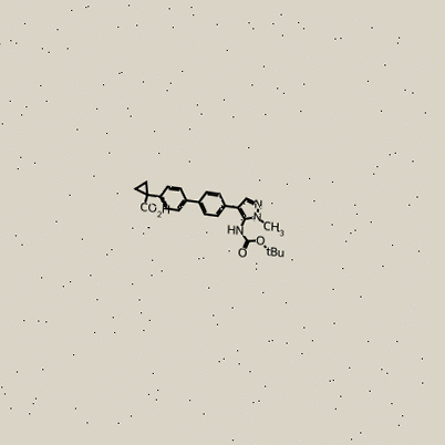 Cn1ncc(-c2ccc(-c3ccc(C4(C(=O)O)CC4)cc3)cc2)c1NC(=O)OC(C)(C)C